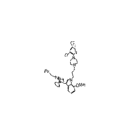 COc1cccc2c(C(=O)NCC(C)C)cn(CCCN3CCN(c4ncc(C(F)(F)F)cc4Cl)CC3)c12